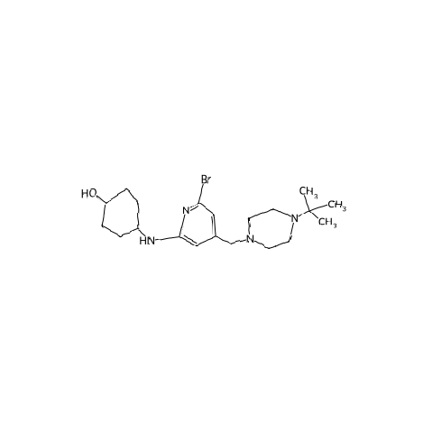 CC(C)(C)N1CCN(Cc2cc(Br)nc(NC3CCC(O)CC3)c2)CC1